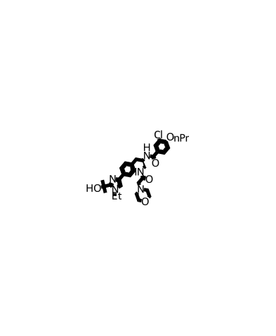 CCCOc1ccc(C(=O)N[C@@H](CNC(=O)CN2CCOCC2)Cc2ccc(-c3cn(CC)c(C(C)(C)O)n3)cc2)cc1Cl